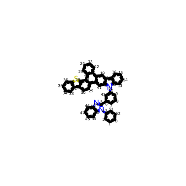 c1ccc(-n2c(-c3cccc(-n4c5ccccc5c5cc6c7ccccc7c7c(ccc8c9ccccc9sc87)c6cc54)c3)nc3ccccc32)cc1